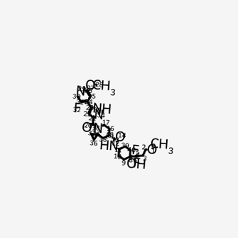 COCCC(F)(F)[C@]1(O)CC[C@@H](NC(=O)[C@H]2CCN(C(=O)c3cc(-c4cc(OC)ncc4F)[nH]n3)C3(CC3)C2)CC1